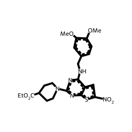 CCOC(=O)C1CCN(c2nc(NCc3ccc(OC)c(OC)c3)c3cc([N+](=O)[O-])sc3n2)CC1